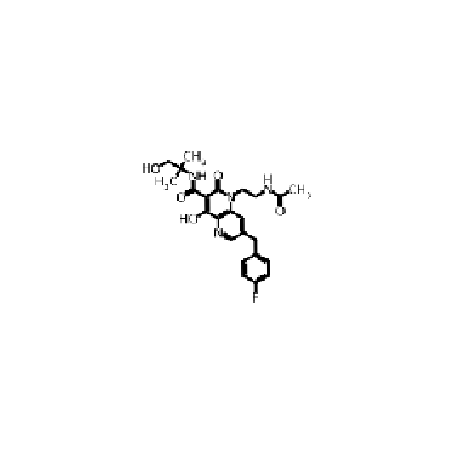 CC(=O)NCCn1c(=O)c(C(=O)NC(C)(C)CO)c(O)c2ncc(Cc3ccc(F)cc3)cc21